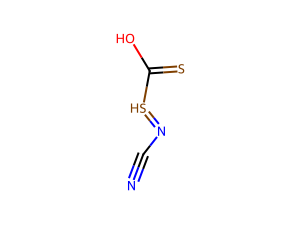 N#CN=[SH]C(O)=S